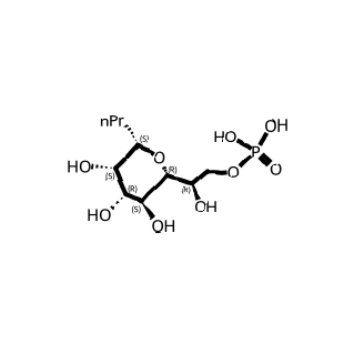 CCC[C@@H]1O[C@H]([C@H](O)COP(=O)(O)O)[C@@H](O)[C@H](O)[C@@H]1O